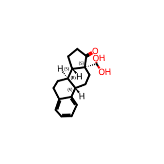 O=C1CC[C@H]2[C@@H]3CCc4ccccc4[C@H]3CC[C@]12C(O)O